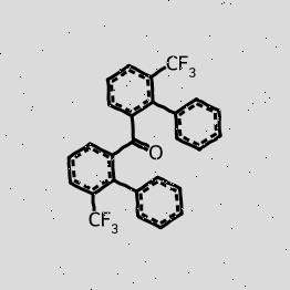 O=C(c1cccc(C(F)(F)F)c1-c1ccccc1)c1cccc(C(F)(F)F)c1-c1ccccc1